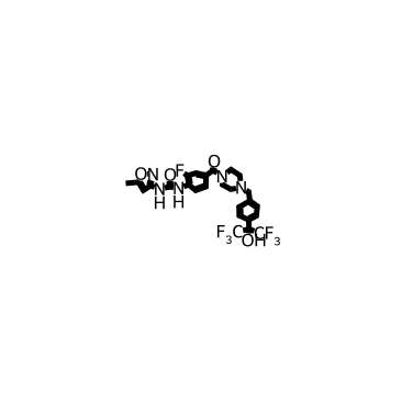 Cc1cc(NC(=O)Nc2ccc(C(=O)N3CCN(Cc4ccc(C(O)(C(F)(F)F)C(F)(F)F)cc4)CC3)cc2F)no1